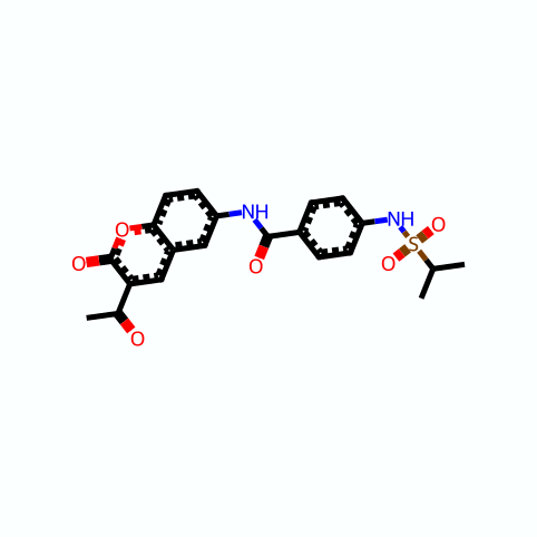 CC(=O)c1cc2cc(NC(=O)c3ccc(NS(=O)(=O)C(C)C)cc3)ccc2oc1=O